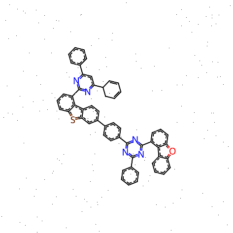 C1=CCC(c2cc(-c3ccccc3)nc(-c3cccc4sc5cc(-c6ccc(-c7nc(-c8ccccc8)nc(-c8cccc9oc%10ccccc%10c89)n7)cc6)ccc5c34)n2)C=C1